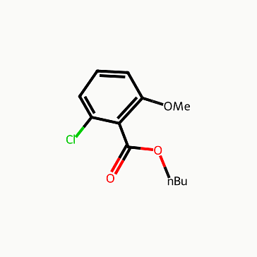 CCCCOC(=O)c1c(Cl)cccc1OC